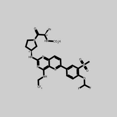 CC(C)[C@@H](NC(=O)O)C(=O)N1CC[C@H](Nc2nc(NCC(F)(F)F)c3nc(-c4ccc(OC(F)F)c(S(C)(=O)=O)c4)ccc3n2)C1